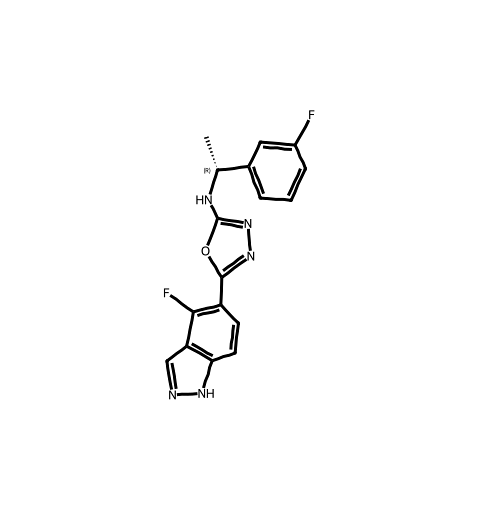 C[C@@H](Nc1nnc(-c2ccc3[nH]ncc3c2F)o1)c1cccc(F)c1